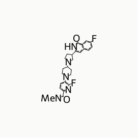 CNC(=O)c1ccc(N2CCC(N3CCC(c4cc5ccc(F)cc5c(=O)[nH]4)C3)CC2)c(F)n1